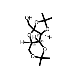 CC1(C)OC[C@@H]2OC3(CO)OC(C)(C)O[C@H]3[C@@H]2O1